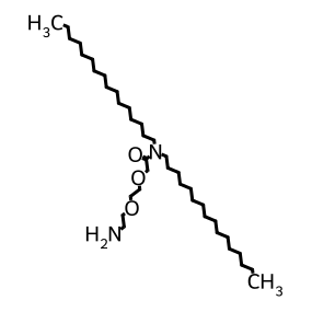 CCCCCCCCCCCCCCCCN(CCCCCCCCCCCCCCCC)C(=O)COCCOCCN